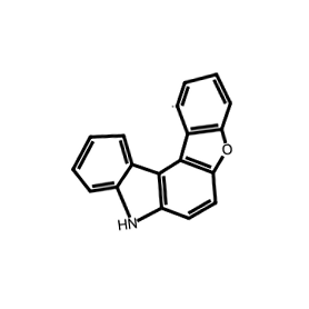 [c]1cccc2oc3ccc4[nH]c5ccccc5c4c3c12